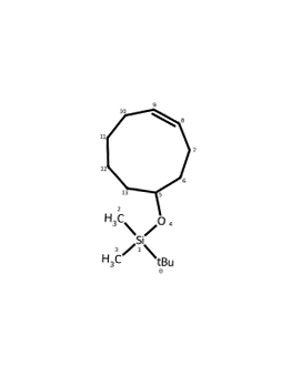 CC(C)(C)[Si](C)(C)OC1CCC=CCCCC1